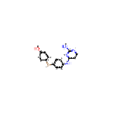 Nc1nccc(Nc2ccc(Sc3ccc(O)cc3)cc2)n1